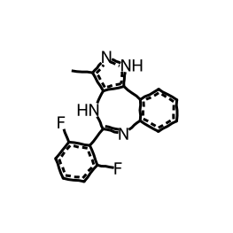 Cc1n[nH]c2c1NC(c1c(F)cccc1F)=Nc1ccccc1-2